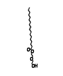 CCCCCCCC/C=C/CCCCCCCC(=O)OCCOCCO